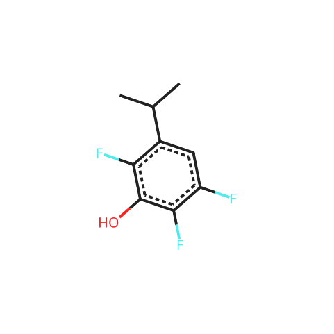 CC(C)c1cc(F)c(F)c(O)c1F